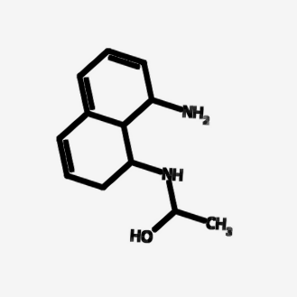 CC(O)NC1CC=CC2=CC=CC(N)C21